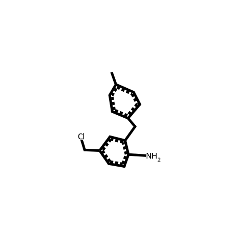 Cc1ccc(Cc2cc(CCl)ccc2N)cc1